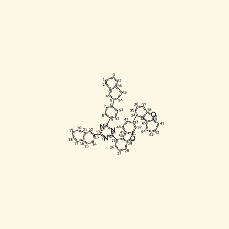 c1ccc2cc(-c3ccc(-c4nc(-c5ccc6ccccc6c5)nc(-c5cccc6oc7cc(-c8cccc9oc%10ccccc%10c89)ccc7c56)n4)cc3)ccc2c1